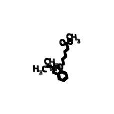 COC(=O)CCCCCOc1ccccc1CNC(C)C